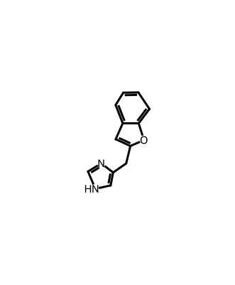 c1ccc2oc(Cc3c[nH]cn3)cc2c1